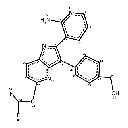 Nc1ncccc1-c1nc2ccc(OC(F)F)nc2n1-c1ccc(CO)cc1